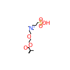 C=C(C)C(=O)OCCOCC[N+](C)(C)CCCS(=O)(=O)O